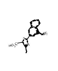 Cc1nc(-c2cc(N)c3ccccc3c2)oc1C(=O)O